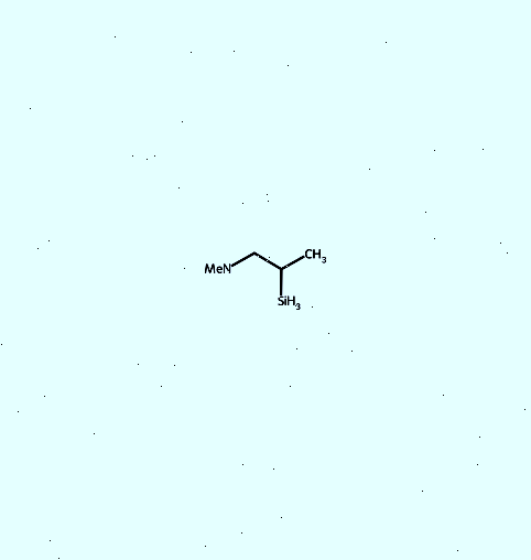 CNCC(C)[SiH3]